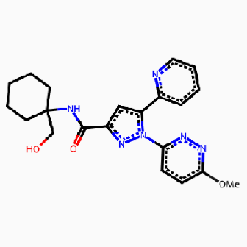 COc1ccc(-n2nc(C(=O)NC3(CO)CCCCC3)cc2-c2ccccn2)nn1